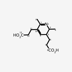 CC1=NC(C)C(CCC(=O)O)C=C1CCC(=O)O